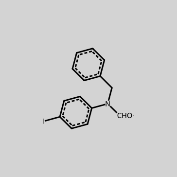 O=[C]N(Cc1ccccc1)c1ccc(I)cc1